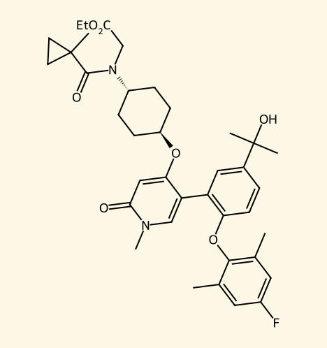 CCOC(=O)CN(C(=O)C1(C)CC1)[C@H]1CC[C@H](Oc2cc(=O)n(C)cc2-c2cc(C(C)(C)O)ccc2Oc2c(C)cc(F)cc2C)CC1